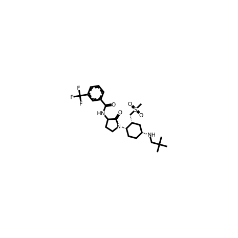 CC(C)(C)CN[C@@H]1CC[C@H](N2CCC(NC(=O)c3cccc(C(F)(F)F)c3)C2=O)[C@H](CS(C)(=O)=O)C1